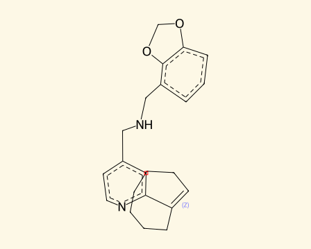 C1=C(\c2cc(CNCc3cccc4c3OCO4)ccn2)CCCCCC/1